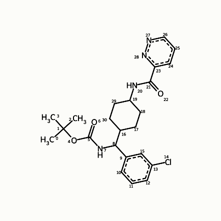 CC(C)(C)OC(=O)NC(c1cccc(Cl)c1)C1CCC(NC(=O)c2cccnn2)CC1